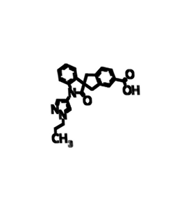 CCCn1cc(N2C(=O)C3(Cc4ccc(C(=O)O)cc4C3)c3ccccc32)cn1